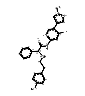 Cn1cc(-c2cnc(NC(=O)[C@@H](NCCc3ccc(C#N)cc3)c3ccccc3)cc2F)cn1